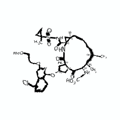 COCCOc1cc2c(Cl)cccc2c(O[C@@H]2C[C@H]3C(=O)N[C@]4(C(=O)NS(=O)(=O)C5(C)CC5)C[C@H]4C=CCC[C@@H](C)C[C@@H](C)[C@H](NC(=O)O)C(=O)N3C2)n1